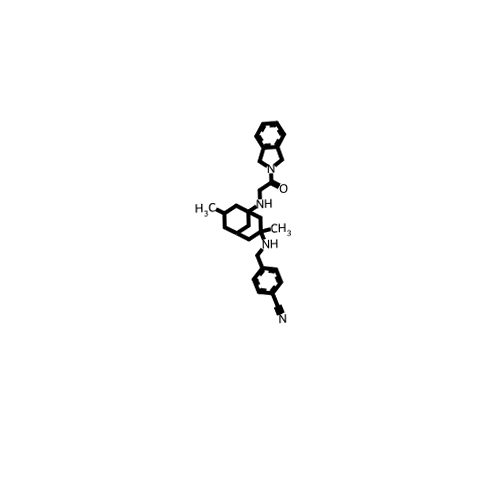 CC1CC2CC(C)(NCc3ccc(C#N)cc3)CC(NCC(=O)N3Cc4ccccc4C3)(C1)C2